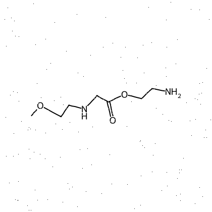 COCCNCC(=O)OCCN